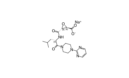 CC(C)C[C@H](NC(=O)[C@@H]1O[C@H]1C(=O)[O-])C(=O)N1CCN(c2ncccn2)CC1.[Na+]